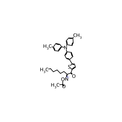 CCCCCC/C(=N\OC(C)=O)C(=O)c1ccc(-c2ccc(N(c3ccc(C)cc3)c3ccc(C)cc3)cc2)s1